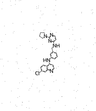 Clc1ccc2c(Nc3cccc(CNc4ccnc(N5CCCC5)n4)c3)ccnc2c1